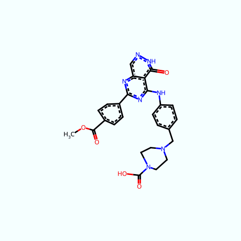 COC(=O)c1ccc(-c2nc(Nc3ccc(CN4CCN(C(=O)O)CC4)cc3)c3c(=O)[nH]ncc3n2)cc1